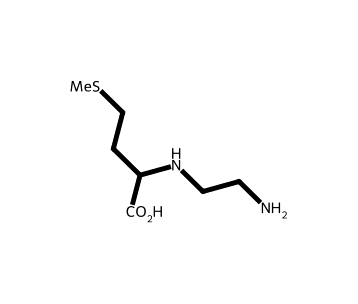 CSCCC(NCCN)C(=O)O